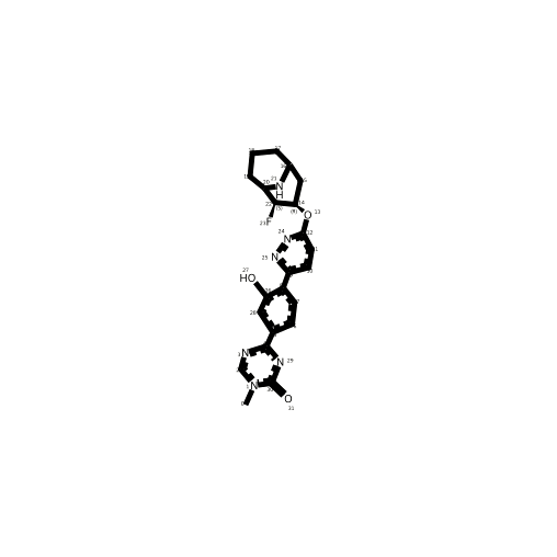 Cn1cnc(-c2ccc(-c3ccc(O[C@@H]4CC5CCCC(N5)[C@@H]4F)nn3)c(O)c2)nc1=O